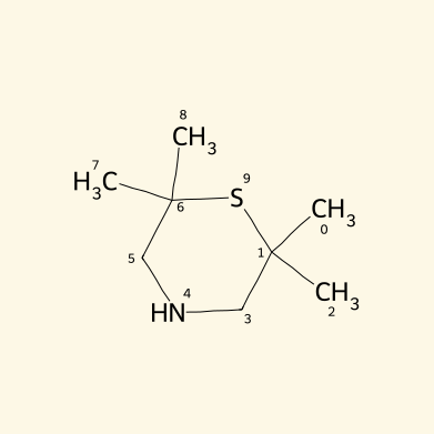 CC1(C)CNCC(C)(C)S1